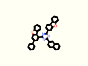 C1=C(c2ccccc2)C=C(c2nc(-c3ccc4ccccc4c3)nc(-c3ccc4c(c3)oc3ccccc34)n2)C2c3ccccc3OC12